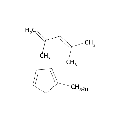 C=C(C)C=C(C)C.CC1=CC=CC1.[Ru]